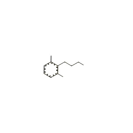 Cc1cccc(Cl)c1CCCO